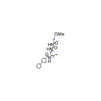 C=C/C(C)=C(\C=C(/C)NC(=O)NC(=O)/C=C/COC)NC(=O)c1ccc(-c2ccccc2)cc1